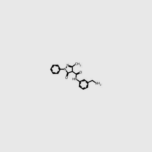 CC1=NN(c2ccccc2)C(=O)C1C(=O)Nc1cccc(CN)c1